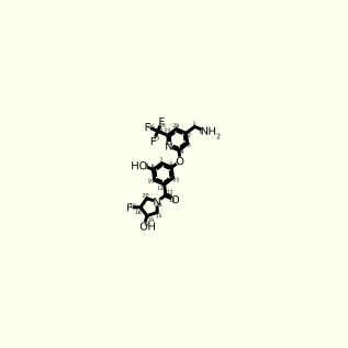 NCc1cc(Oc2cc(O)cc(C(=O)N3CC(O)C(F)C3)c2)nc(C(F)(F)F)c1